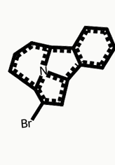 Brc1cc2c3ccccc3c3cccc1n32